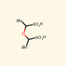 CCC(C)C(OC(C(C)CC)S(=O)(=O)O)S(=O)(=O)O